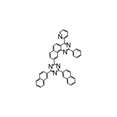 c1ccc(-c2nc(-c3ccccn3)c3ccc4ccc(-c5nc(-c6ccc7ccccc7c6)nc(-c6ccc7ccccc7c6)n5)cc4c3n2)cc1